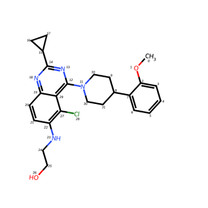 COc1ccccc1C1CCN(c2nc(C3CC3)nc3ccc(NCCO)c(Cl)c23)CC1